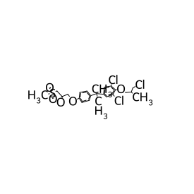 CC(CCl)COc1c(Cl)cc(C(C)(C)c2ccc(OCC(=O)CS(C)(=O)=O)cc2)cc1Cl